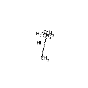 C=CCCCCC=CCCCCC=CCCCC(C)C(C)(C)N.I